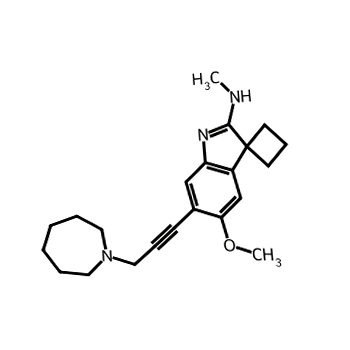 CNC1=Nc2cc(C#CCN3CCCCCC3)c(OC)cc2C12CCC2